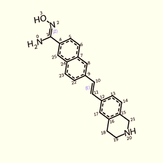 N/C(=N\O)c1ccc2cc(/C=C/c3ccc4c(c3)CCNC4)ccc2c1